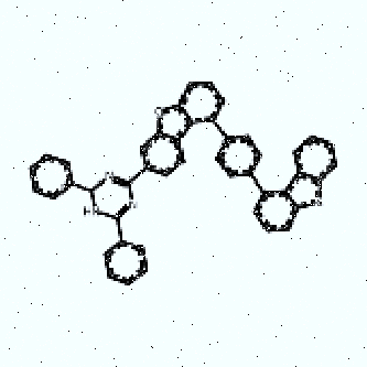 c1ccc(C2=NC(c3ccc4c(c3)oc3cccc(-c5ccc(-c6cccc7sc8ccccc8c67)cc5)c34)=NC(c3ccccc3)N2)cc1